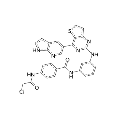 O=C(CCl)Nc1ccc(C(=O)Nc2cccc(Nc3nc(-c4cnc5[nH]ccc5c4)c4sccc4n3)c2)cc1